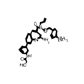 CCCN(OCc1ccc(N)cc1)C(=O)C1=Cc2ccc(-c3cccc(NC(=O)CO)c3)cc2N=C(N)C1